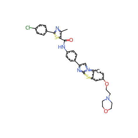 Cc1nc(-c2ccc(Cl)cc2)sc1C(=O)Nc1ccc(-c2cn3c(n2)sc2cc(OCCN4CCOCC4)ccc23)cc1